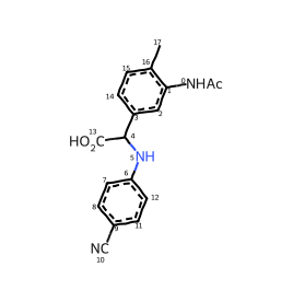 CC(=O)Nc1cc(C(Nc2ccc(C#N)cc2)C(=O)O)ccc1C